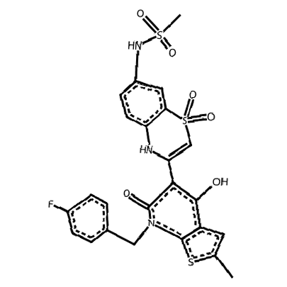 Cc1cc2c(O)c(C3=CS(=O)(=O)c4cc(NS(C)(=O)=O)ccc4N3)c(=O)n(Cc3ccc(F)cc3)c2s1